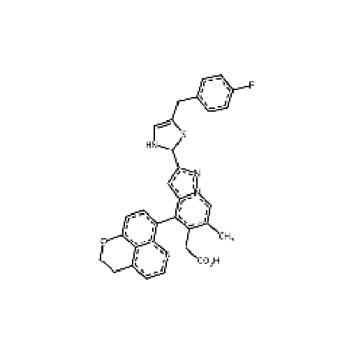 Cc1cn2nc(C3NC=C(Cc4ccc(F)cc4)S3)cc2c(-c2ccc3c4c(ccnc24)CCO3)c1CC(=O)O